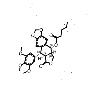 CCCCC(=O)O[C@H]1c2cc3c(cc2[C@@H](c2cc(OC)c(OC)c(OC)c2)[C@@H]2C(=O)OC[C@@H]21)OCO3